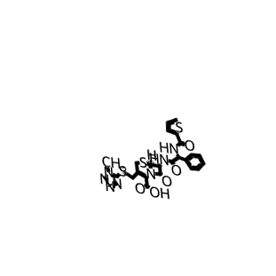 Cn1nnnc1SCC1=C(C(=O)O)N2C(=O)C(NC(=O)C(NC(=O)c3cccs3)c3ccccc3)[C@H]2SC1